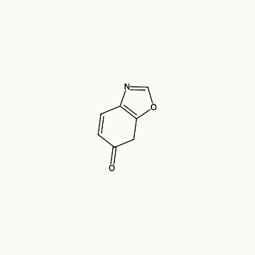 O=C1C=Cc2ncoc2C1